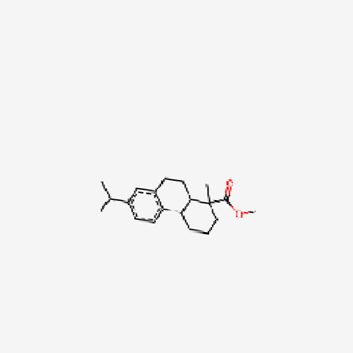 COC(=O)C1(C)CCCC2c3ccc(C(C)C)cc3CCC21